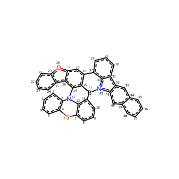 c1ccc2c(c1)Sc1cccc3c1N2c1c2c(cc4oc5ccccc5c14)-c1cccc4c5cc6ccccc6cc5n(c14)B32